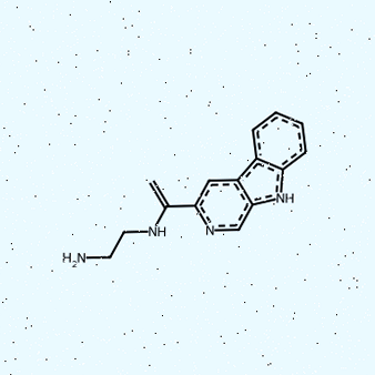 C=C(NCCN)c1cc2c(cn1)[nH]c1ccccc12